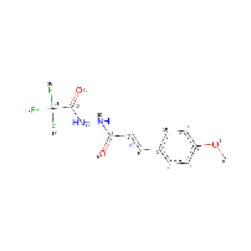 COc1ccc(/C=C/C(=O)NNC(=O)C(F)(F)F)cc1